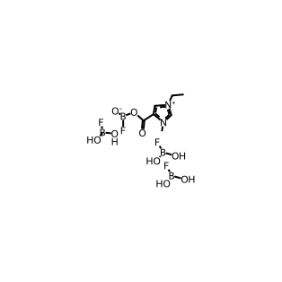 CC[n+]1cc(C(=O)OB([O-])F)n(C)c1.OB(O)F.OB(O)F.OB(O)F